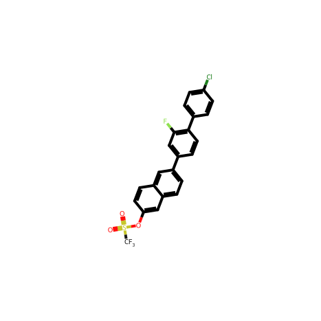 O=S(=O)(Oc1ccc2cc(-c3ccc(-c4ccc(Cl)cc4)c(F)c3)ccc2c1)C(F)(F)F